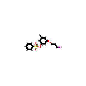 Cc1cc(OCCCI)cc(OS(=O)(=O)c2ccccc2)c1